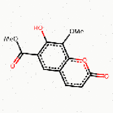 COC(=O)c1cc2ccc(=O)oc2c(OC)c1O